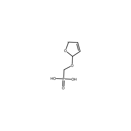 O=P(O)(O)COC1C=C[C]O1